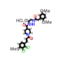 COc1ccc(OC)c(CC(=O)NC[C@H](NC(=O)C2CCN(C(=O)C=Cc3ccc(SC)c(Cl)c3Cl)CC2)C(=O)O)c1